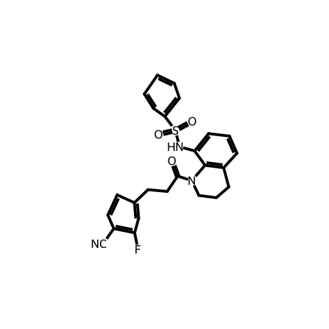 N#Cc1ccc(CCC(=O)N2CCCc3cccc(NS(=O)(=O)c4ccccc4)c32)cc1F